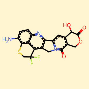 Nc1ccc2nc3c(c4c2c1SCC4(F)F)Cn1c-3cc2c(c1=O)COC(=O)C2O